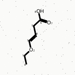 CCO/C=C/CC(=O)O